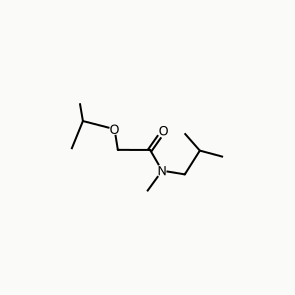 CC(C)CN(C)C(=O)COC(C)C